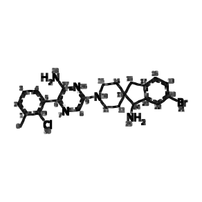 Cc1cccc(-c2ncc(N3CCC4(CC3)Cc3ccc(Br)cc3C4N)nc2N)c1Cl